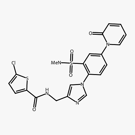 CNS(=O)(=O)c1cc(-n2ccccc2=O)ccc1-n1cnc(CNC(=O)c2ccc(Cl)s2)c1